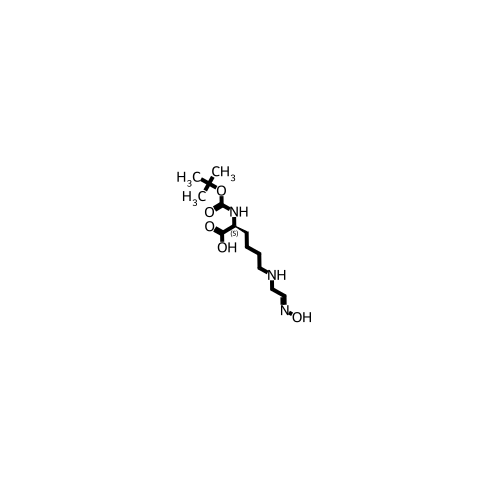 CC(C)(C)OC(=O)N[C@@H](CCCCNCC=NO)C(=O)O